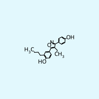 CCCCc1cc(-c2onc(-c3ccc(O)cc3)c2CC)ccc1O